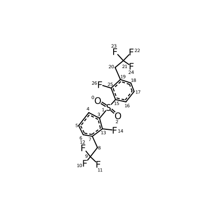 O=S(=O)(c1cccc(CC(F)(F)F)c1F)c1cccc(CC(F)(F)F)c1F